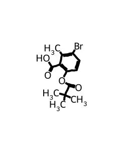 Cc1c(Br)ccc(OC(=O)C(C)(C)C)c1C(=O)O